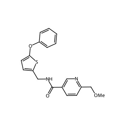 COCc1ccc(C(=O)NCc2ccc(Oc3ccccc3)s2)cn1